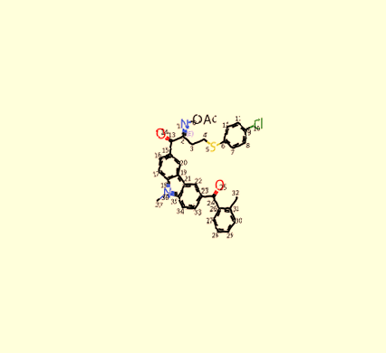 CC(=O)O/N=C(\CCSc1ccc(Cl)cc1)C(=O)c1ccc2c(c1)c1cc(C(=O)c3ccccc3C)ccc1n2C